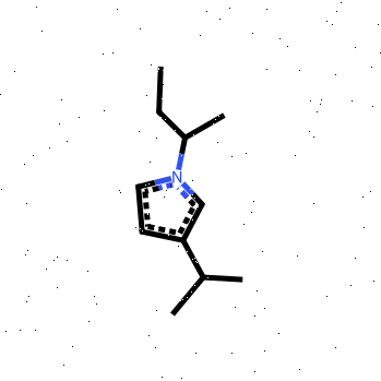 CCC(C)n1ccc(C(C)C)c1